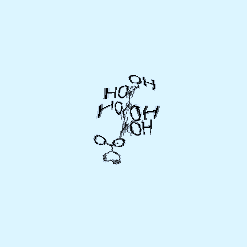 O=C(OC[C@@H](O)[C@H](O)[C@@H](O)[C@@H](O)CO)c1ccccc1